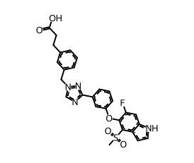 CS(=O)(=O)c1c(Oc2cccc(-c3ncn(Cc4cccc(CCC(=O)O)c4)n3)c2)c(F)cc2[nH]ccc12